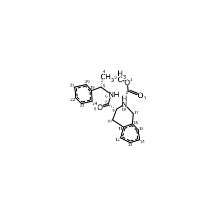 COC=O.C[C@H](NC(=O)[C@H]1Cc2ccccc2CN1)c1ccccc1